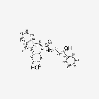 Cl.Cn1c(-c2ccccc2)c(C=CC(=O)NCCC(O)c2ccccc2)c2cccnc21